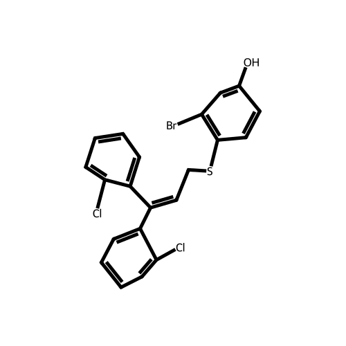 Oc1ccc(SCC=C(c2ccccc2Cl)c2ccccc2Cl)c(Br)c1